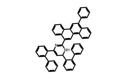 C1=C(c2ccccc2-c2ccccc2)N=C(c2cc3c4ccccc4c(-c4ccccc4)cc3c3ccccc23)NC1c1ccccc1-c1ccccc1